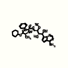 C[C@H](NP(=O)(OC[C@@H](OC#N)[C@@H](O)[C@@H](O)c1ccc2c(N)ncnn12)Oc1ccccc1)C(=O)OC1CCCCC1